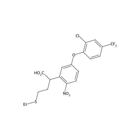 CCSCCC(C(=O)O)c1cc(Oc2ccc(C(F)(F)F)cc2Cl)ccc1[N+](=O)[O-]